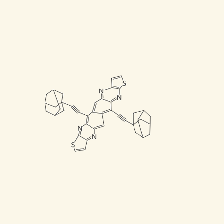 C(#CC12CC3CC(CC(C3)C1)C2)c1c2cc3nc4ccsc4nc3c(C#CC34CC5CC(CC(C5)C3)C4)c2cc2nc3ccsc3nc12